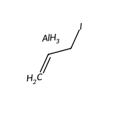 C=CCI.[AlH3]